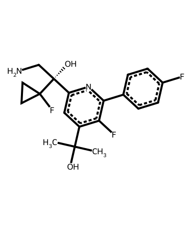 CC(C)(O)c1cc([C@](O)(CN)C2(F)CC2)nc(-c2ccc(F)cc2)c1F